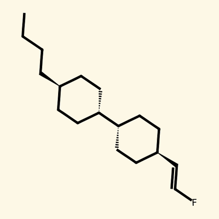 CCCC[C@H]1CC[C@H]([C@H]2CC[C@H](C=CF)CC2)CC1